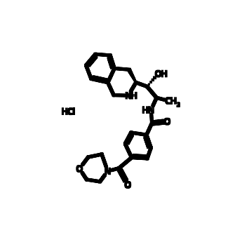 CC(NC(=O)c1ccc(C(=O)N2CCOCC2)cc1)[C@@H](O)[C@@H]1Cc2ccccc2CN1.Cl